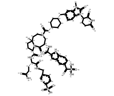 CC(C)S(=O)(=O)c1ccc(CNC(=O)[C@H](CCC(N)=O)NC(=O)[C@@H]2CC[C@@H]3CCN(C(=O)C[C@H]4CC[C@@H](Cc5ccc6c(c5)n(C)c(=O)n6C5CCC(=O)NC5=O)CC4)C[C@H](NC(=O)c4cc5cc(C(=O)P(=O)(O)O)ccc5[nH]4)C(=O)N32)cc1